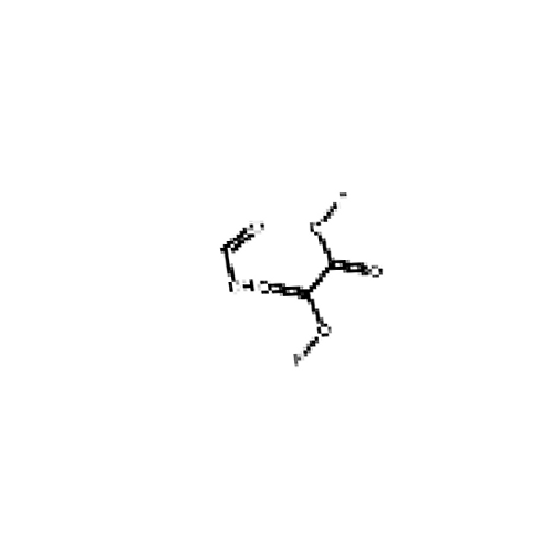 O=C(OF)C(=O)OF.O=CO